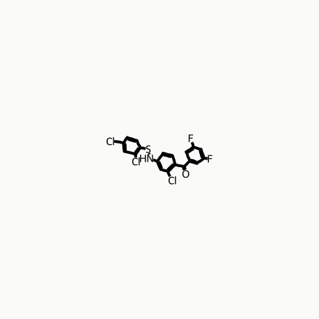 O=C(c1cc(F)cc(F)c1)c1ccc(NSc2ccc(Cl)cc2Cl)cc1Cl